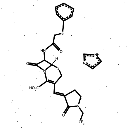 O=C(CSc1ccccc1)N[C@@H]1C(=O)N2C(C(=O)O)=C(/C=C3\CCN(CC(F)(F)F)C3=O)CS[C@H]12.c1c[nH]cn1